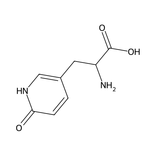 NC(Cc1ccc(=O)[nH]c1)C(=O)O